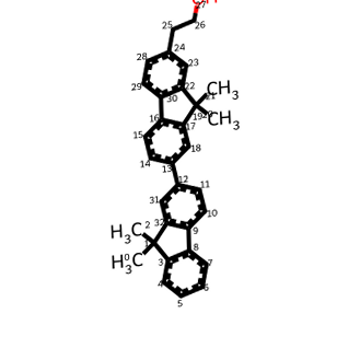 CC1(C)c2ccccc2-c2ccc(-c3ccc4c(c3)C(C)(C)c3cc(CCO)ccc3-4)cc21